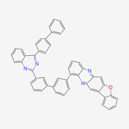 c1ccc(-c2ccc(-c3nc(-c4cccc(-c5cccc(-c6cccc7nc8cc9oc%10ccccc%10c9cc8nc67)c5)c4)nc4ccccc34)cc2)cc1